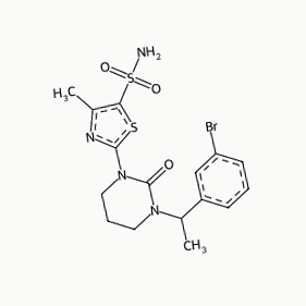 Cc1nc(N2CCCN(C(C)c3cccc(Br)c3)C2=O)sc1S(N)(=O)=O